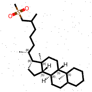 CC(CCC[C@@H](C)[C@H]1CC[C@H]2[C@@H]3CCC4CCCC[C@]4(C)[C@H]3CC[C@]12C)CS(C)(=O)=O